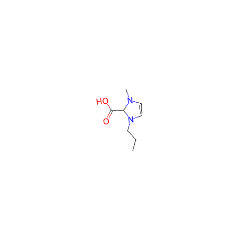 CCCN1C=CN(C)C1C(=O)O